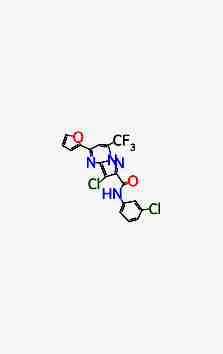 O=C(Nc1cccc(Cl)c1)c1nn2c(C(F)(F)F)cc(-c3ccco3)nc2c1Cl